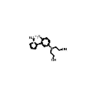 Cn1cccc1-c1cc(N(CCO)CCO)ccc1N